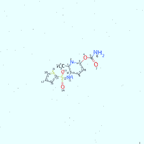 Cc1nc(OC(N)=O)ccc1NS(=O)(=O)c1cccs1